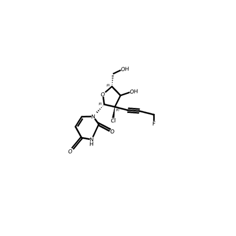 O=c1ccn([C@@H]2O[C@H](CO)C(O)[C@]2(Cl)C#CCF)c(=O)[nH]1